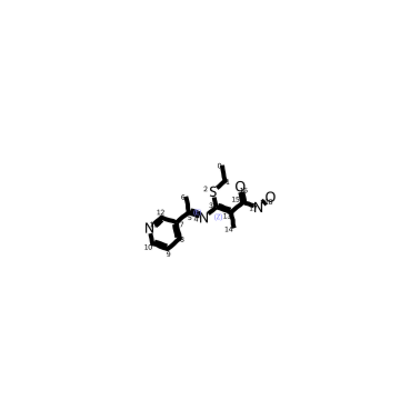 CCSC(/N=C(\C)c1cccnc1)=C(/C)C(=O)N=O